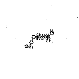 O=C(Nc1ccc(-n2nc(-c3cccnc3)cc2C(F)(F)F)nn1)c1cccc(-c2ccc(C(=O)N3CCCC3)cc2)c1